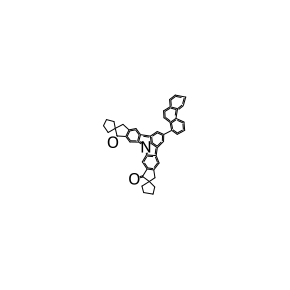 O=C1c2cc3c(cc2CC12CCCC2)c1cc(-c2cccc4c2ccc2ccccc24)cc2c4cc5c(cc4n3c12)C(=O)C1(CCCC1)C5